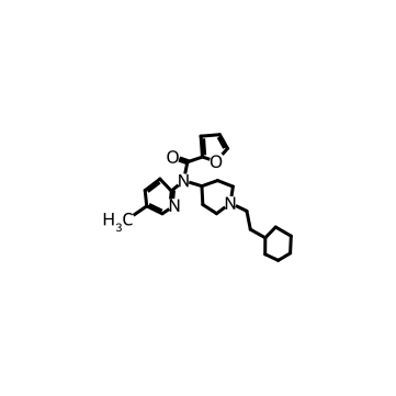 Cc1ccc(N(C(=O)c2ccco2)C2CCN(CCC3CCCCC3)CC2)nc1